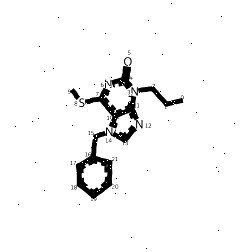 CCCn1c(=O)nc(SC)c2c1ncn2Cc1ccccc1